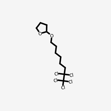 ClC(Cl)(Cl)C(Cl)(Cl)CCCCCCOC1CCCO1